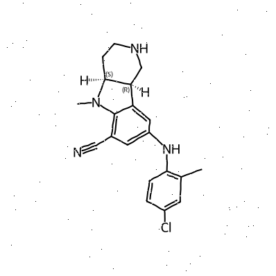 Cc1cc(Cl)ccc1Nc1cc(C#N)c2c(c1)[C@@H]1CNCC[C@@H]1N2C